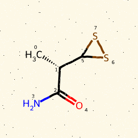 C[C@@H](C(N)=O)C1SS1